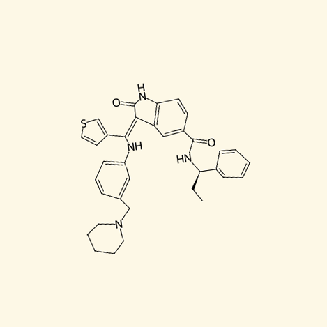 CC[C@@H](NC(=O)c1ccc2c(c1)C(=C(Nc1cccc(CN3CCCCC3)c1)c1ccsc1)C(=O)N2)c1ccccc1